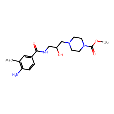 COc1cc(C(=O)NCC(O)CN2CCN(C(=O)OC(C)(C)C)CC2)ccc1N